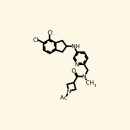 CC(=O)N1CC(C(=O)N(C)Cc2ccc(NC3Cc4ccc(Cl)c(Cl)c4C3)cn2)C1